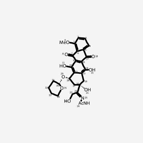 COc1cccc2c1C(=O)c1c(O)c3c(c(O)c1C2=O)C[C@@](O)(/C(CO)=N/NC(C)=O)C[C@@H]3O[C@H]1CCCCO1